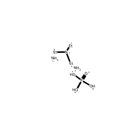 CCN(CC)CC.N.N.O=P(O)(O)O